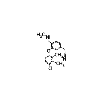 CNCc1ccc(CC#N)cc1Oc1ccc(Cl)c(C)c1C